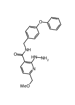 COCc1ccc(C(=O)NCc2ccc(Oc3ccccc3)cc2)c(NN)n1